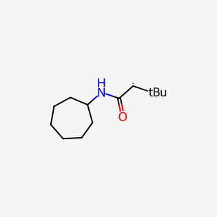 CC(C)(C)[CH]C(=O)NC1CCCCCC1